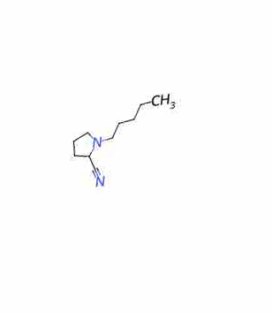 CCCCCN1CCCC1C#N